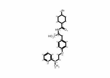 CC(C)C1CCC(C(=O)N[C@@H](Cc2ccc(OCCN(C)c3ccccn3)cc2)C(=O)O)CC1